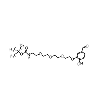 CC(C)(C)OC(=O)NCCOCCOCCOCCOc1cc(C=O)ccc1O